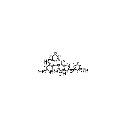 Oc1ccc(Cc2cc3c(Cc4cccc(O)c4)c(Cc4ccc(O)cc4)c(O)c(O)c3cc2O)cc1